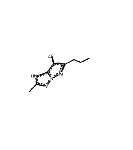 CCCc1nn2nc(C)[nH]c2c1Cl